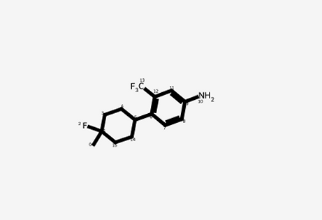 CC1(F)CCC(c2ccc(N)cc2C(F)(F)F)CC1